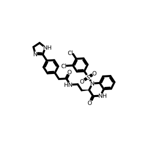 O=C(Cc1ccc(C2=NCCN2)cc1)NCC[C@@H]1C(=O)Nc2ccccc2N1S(=O)(=O)c1ccc(Cl)c(Cl)c1